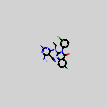 CCN(c1nc(N)nc(N)c1C#N)c1nc2ccc(F)cc2c(=O)n1-c1cccc(Cl)c1